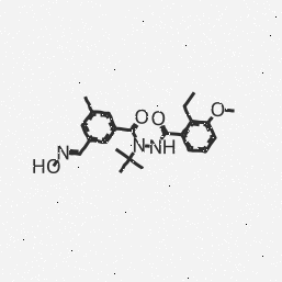 CCc1c(OC)cccc1C(=O)NN(C(=O)c1cc(C)cc(C=NO)c1)C(C)(C)C